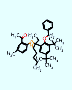 CCCCCC(CC)(Pc1ccc(C)cc1C(C)=O)c1cc(C(C)(C)C)cc(C(C)(C)C)c1OCc1ccccc1